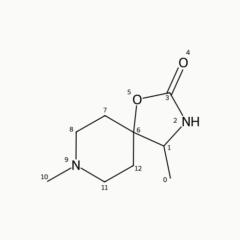 CC1NC(=O)OC12CCN(C)CC2